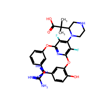 CC(C)(C(=O)O)C1CNCCN1c1c(F)c(Oc2cccc(NC(=N)N)c2)nc(Oc2cc(C(=N)N)ccc2O)c1F